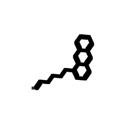 [CH]=CCCCCc1cccc2cc3ccccc3cc12